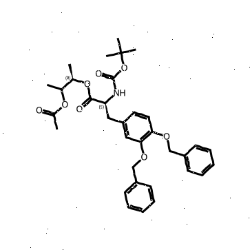 CC(=O)OC(C)[C@@H](C)OC(=O)[C@H](Cc1ccc(OCc2ccccc2)c(OCc2ccccc2)c1)NC(=O)OC(C)(C)C